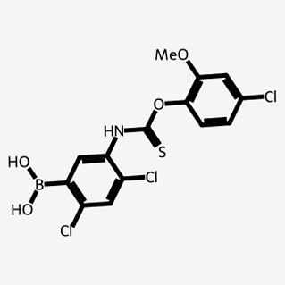 COc1cc(Cl)ccc1OC(=S)Nc1cc(B(O)O)c(Cl)cc1Cl